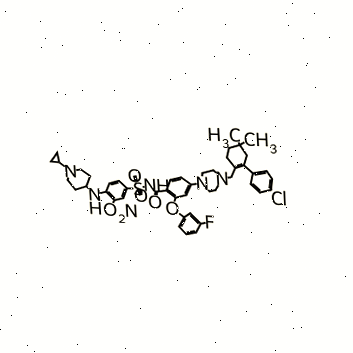 CC1(C)CCC(CN2CCN(c3ccc(C(=O)NS(=O)(=O)c4ccc(NC5CCN(C6CC6)CC5)c([N+](=O)[O-])c4)c(Oc4cccc(F)c4)c3)CC2)=C(c2ccc(Cl)cc2)C1